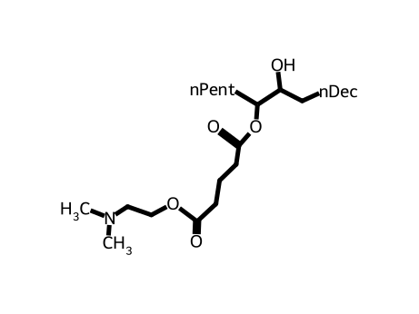 CCCCCCCCCCCC(O)C(CCCCC)OC(=O)CCCC(=O)OCCN(C)C